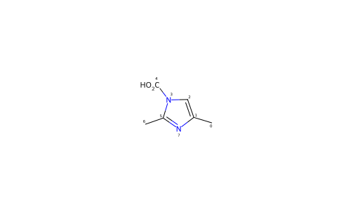 Cc1cn(C(=O)O)c(C)n1